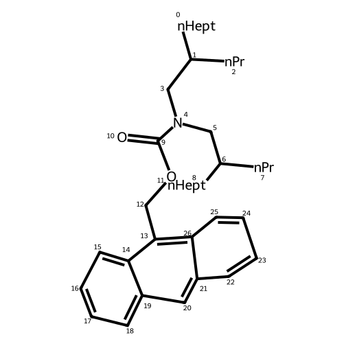 CCCCCCCC(CCC)CN(CC(CCC)CCCCCCC)C(=O)OCc1c2ccccc2cc2ccccc12